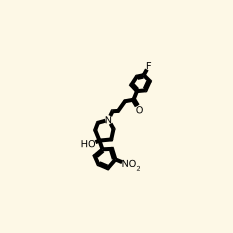 O=C(CCCN1CCC(O)(c2cccc([N+](=O)[O-])c2)CC1)c1ccc(F)cc1